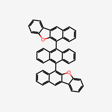 c1ccc2c(-c3c4ccccc4c(-c4c5ccccc5cc5c4oc4ccccc45)c4ccccc34)c3oc4ccccc4c3cc2c1